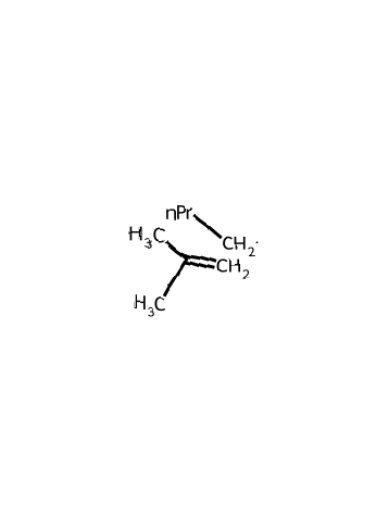 C=C(C)C.[CH2]CCC